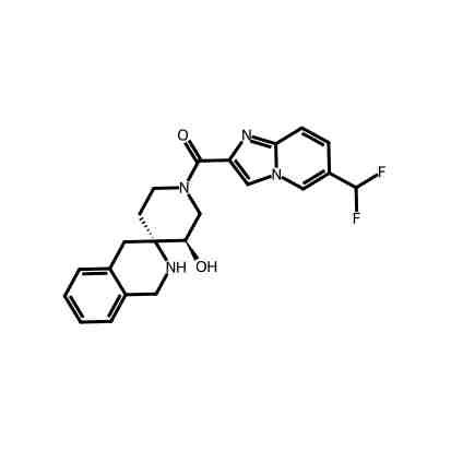 O=C(c1cn2cc(C(F)F)ccc2n1)N1CC[C@]2(Cc3ccccc3CN2)[C@H](O)C1